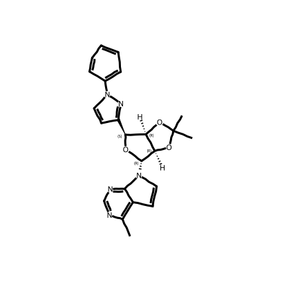 Cc1ncnc2c1ccn2[C@@H]1O[C@@H](c2ccn(-c3ccccc3)n2)[C@H]2OC(C)(C)O[C@H]21